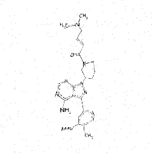 COc1cc(-c2nn(C3CCCN(C(=O)/C=C/CN(C)C)C3)c3ncnc(N)c23)ccc1C